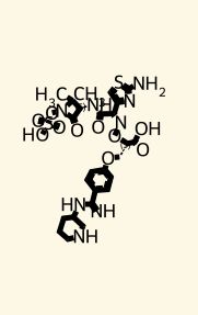 CC1(C)[C@H](NC(=O)C(=NO[C@@H](COc2ccc(C(=N)NC3CCCNC3)cc2)C(=O)O)c2csc(N)n2)C(=O)N1OS(=O)(=O)O